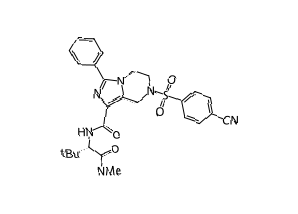 CNC(=O)[C@@H](NC(=O)c1nc(-c2ccccc2)n2c1CN(S(=O)(=O)c1ccc(C#N)cc1)CC2)C(C)(C)C